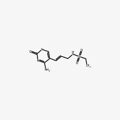 NC1=NC(=O)[N]C=C1C=CCNS(=O)(=O)CC(F)(F)F